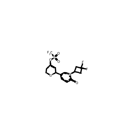 O=c1ccc(C2C=C(OS(=O)(=O)C(F)(F)F)CCO2)cn1C1CC(F)(F)C1